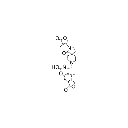 CC1=C(N2CCC3(CCN(C[C@@H](c4ccc5c(c4C)COC5=O)N(C)C(=O)O)CC3)C2=O)COC1=O